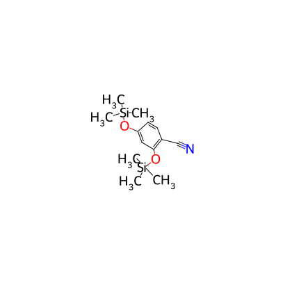 C[Si](C)(C)Oc1ccc(C#N)c(O[Si](C)(C)C)c1